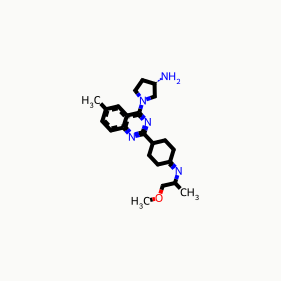 COCC(C)N=C1CCC(c2nc(N3CC[C@H](N)C3)c3cc(C)ccc3n2)CC1